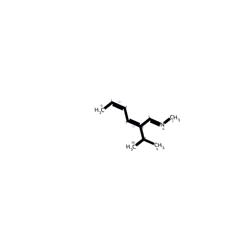 C/C=C\C=C(/C=NC)C(C)C